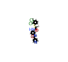 C[C@H](Sc1cccc(Cl)c1Cl)C(=O)Nc1ccc2oc(-c3ccncc3)nc2c1